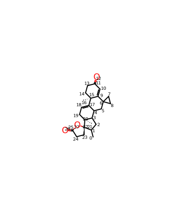 CC1CC2C3CC4(CC4)C4=CC(=O)CC[C@]4(C)C3=CC[C@]2(C)[C@]12CCC(=O)O2